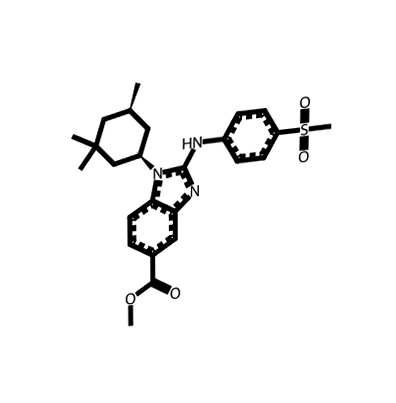 COC(=O)c1ccc2c(c1)nc(Nc1ccc(S(C)(=O)=O)cc1)n2[C@@H]1C[C@H](C)CC(C)(C)C1